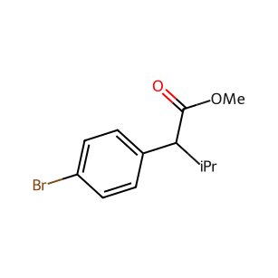 COC(=O)C(c1ccc(Br)cc1)C(C)C